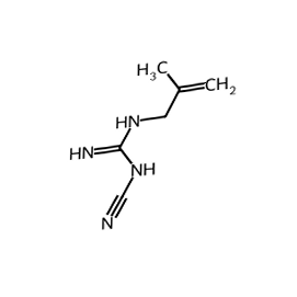 C=C(C)CNC(=N)NC#N